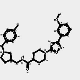 COc1cccc(-c2noc(N3CCC(C(=O)NCC4CCN(Cc5ccc(C)cc5)C4)CC3)n2)c1